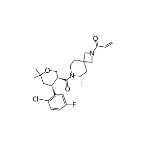 C=CC(=O)N1CC2(CCN(C(=O)[C@@H]3COC(C)(C)C[C@@H]3c3cc(F)ccc3Cl)[C@@H](C)C2)C1